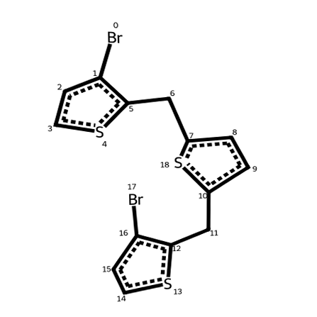 Brc1ccsc1Cc1ccc(Cc2sccc2Br)s1